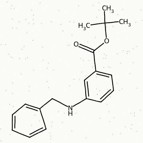 CC(C)(C)OC(=O)c1cccc(NCc2ccccc2)c1